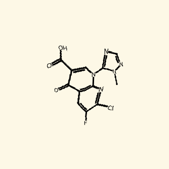 Cn1ncnc1-n1cc(C(=O)O)c(=O)c2cc(F)c(Cl)nc21